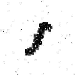 CC(C)(N)C(=O)N1CCN(C(=O)Nc2ccn(-c3ccc(CN4CCC(F)(F)CC4)cc3)c(=O)n2)CC1